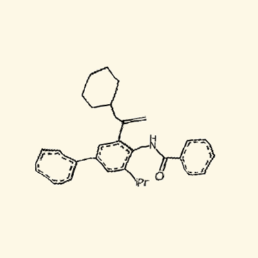 C=C(c1cc(-c2ccccc2)cc(C(C)C)c1NC(=O)c1ccccc1)C1CCCCC1